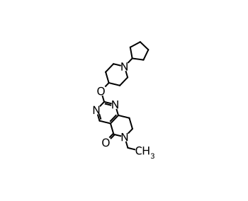 CCN1CCc2nc(OC3CCN(C4CCCC4)CC3)ncc2C1=O